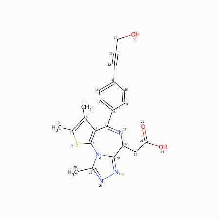 Cc1sc2c(c1C)C(c1ccc(C#CCO)cc1)=NC(CC(=O)O)c1nnc(C)n1-2